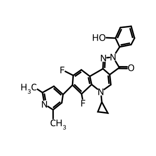 Cc1cc(-c2c(F)cc3c4nn(-c5ccccc5O)c(=O)c-4cn(C4CC4)c3c2F)cc(C)n1